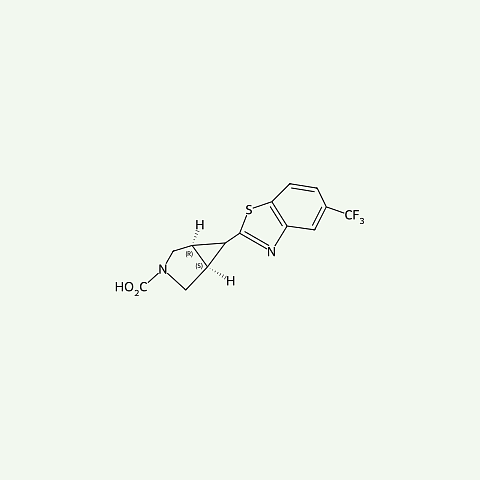 O=C(O)N1C[C@@H]2C(c3nc4cc(C(F)(F)F)ccc4s3)[C@@H]2C1